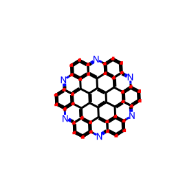 c1ccc2c(-c3c(-c4c5ccccc5nc5ccccc45)c(-c4c5ccccc5nc5ccccc45)c(-c4c5ccccc5nc5ccccc45)c(-c4c5ccccc5nc5ccccc45)c3-c3c4ccccc4nc4ccccc34)c3ccccc3nc2c1